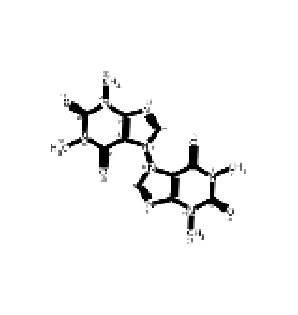 Cn1c(=O)c2c(ncn2-n2cnc3c2c(=O)n(C)c(=O)n3C)n(C)c1=O